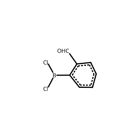 O=Cc1ccccc1B(Cl)Cl